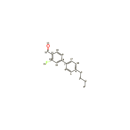 CCCCc1ccc(-c2ccc(C=O)c(F)c2)cc1